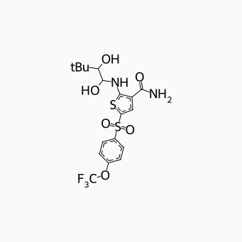 CC(C)(C)C(O)C(O)Nc1sc(S(=O)(=O)c2ccc(OC(F)(F)F)cc2)cc1C(N)=O